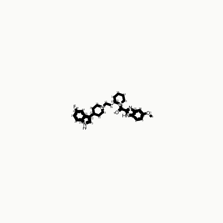 COc1ccc2[nH]c(C(=O)N3CCCC[C@H]3CCN3CCC(c4c[nH]c5ccc(F)cc45)CC3)nc2c1